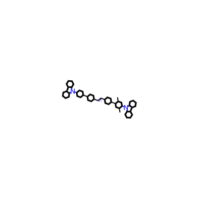 Cc1cc(-n2c3ccccc3c3ccccc32)c(C)cc1-c1ccc(/C=C/c2ccc(-c3ccc(-n4c5ccccc5c5ccccc54)cc3)cc2)cc1